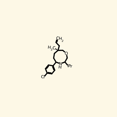 C=CC[C@@]1(C)CCC(c2ccc(Cl)cc2)NC(C(C)C)COC1